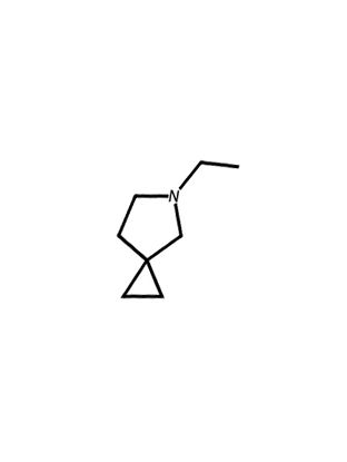 CCN1CCC2(CC2)C1